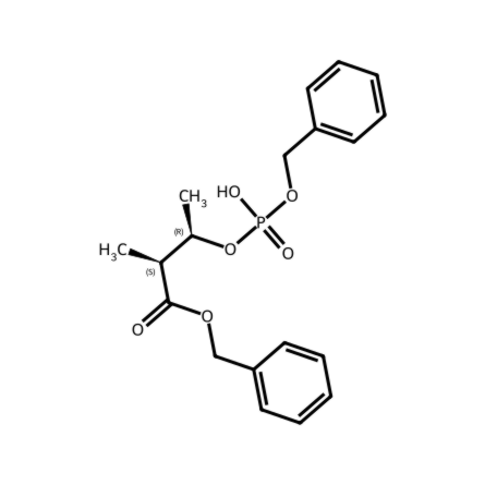 C[C@H](C(=O)OCc1ccccc1)[C@@H](C)OP(=O)(O)OCc1ccccc1